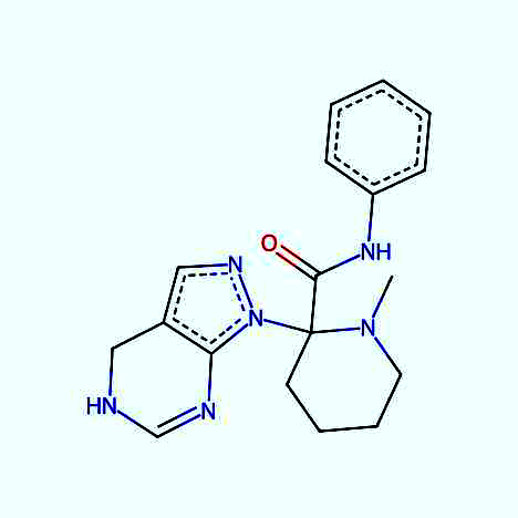 CN1CCCCC1(C(=O)Nc1ccccc1)n1ncc2c1N=CNC2